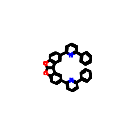 c1ccc(-c2cccc(-c3ccc4oc5oc6ccc(-c7cccc(-c8ccccc8)n7)cc6c5c4c3)n2)cc1